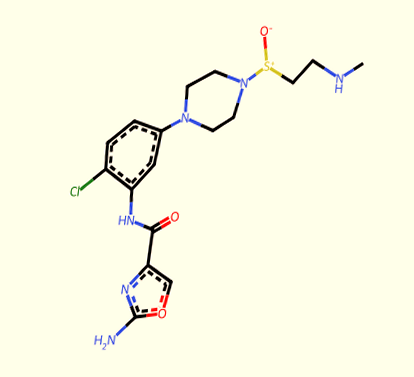 CNCC[S+]([O-])N1CCN(c2ccc(Cl)c(NC(=O)c3coc(N)n3)c2)CC1